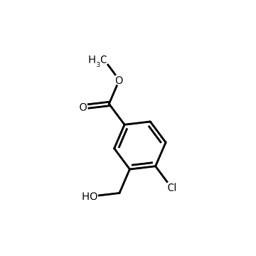 COC(=O)c1ccc(Cl)c(CO)c1